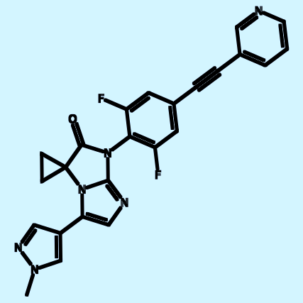 Cn1cc(-c2cnc3n2C2(CC2)C(=O)N3c2c(F)cc(C#Cc3cccnc3)cc2F)cn1